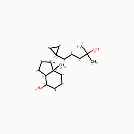 CC(C)(O)CCCC1([C@H]2CCC3C(O)CCCC32C)CC1